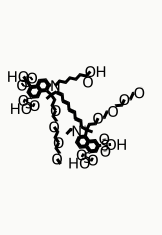 CC[N+]1=C(/C=C/C=C/C=C/C=C2/N(CCCCCC(=O)O)c3ccc4c(S(=O)(=O)O)cc(S(=O)(=O)O)cc4c3C2(C)CCOCCOCCOCCOC)C(C)(CCOCCOCCOCCOC)c2c1ccc1c(S(=O)(=O)O)cc(S(=O)(=O)O)cc21